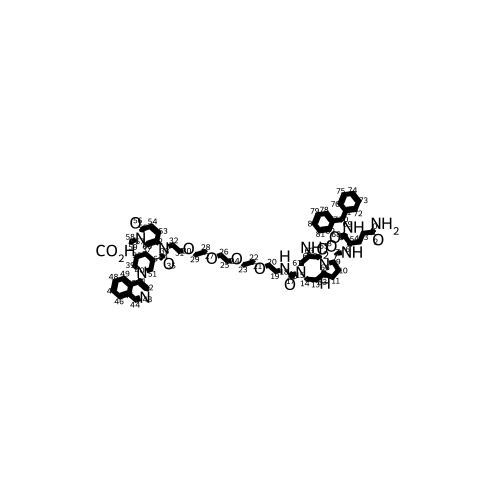 NC(=O)CCC(NC(=O)[C@@H]1CC[C@@H]2CCN(C(=O)NCCOCCOCCOCCOCCN(C(=O)[C@H]3CCCN(c4cncc5ccccc45)C3)c3ccc(=O)n(CC(=O)O)c3)C[C@H](N)C(=O)N21)C(=O)NC(c1ccccc1)c1ccccc1